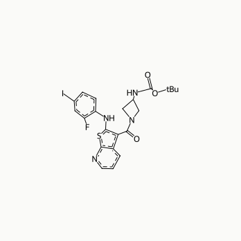 CC(C)(C)OC(=O)NC1CN(C(=O)c2c(Nc3ccc(I)cc3F)sc3ncccc23)C1